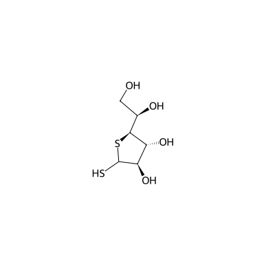 OC[C@@H](O)[C@@H]1SC(S)[C@H](O)[C@H]1O